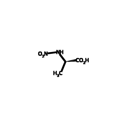 C[C@H](N[N+](=O)[O-])C(=O)O